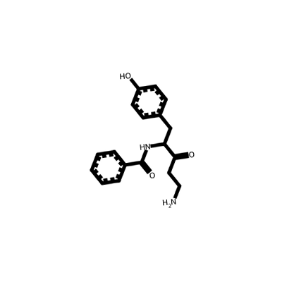 NCCC(=O)C(Cc1ccc(O)cc1)NC(=O)c1ccccc1